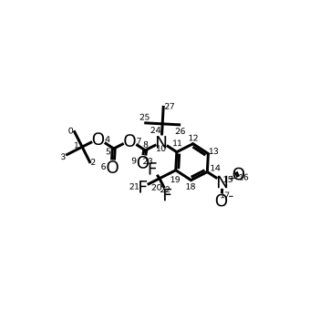 CC(C)(C)OC(=O)OC(=O)N(c1ccc([N+](=O)[O-])cc1C(F)(F)F)C(C)(C)C